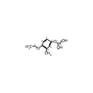 CCOc1ccc(OB(O)O)cc1C